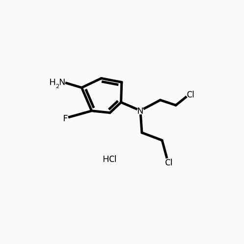 Cl.Nc1ccc(N(CCCl)CCCl)cc1F